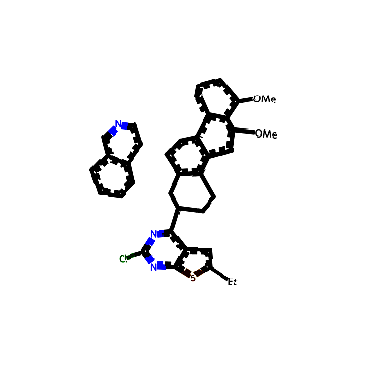 CCc1cc2c(C3CCc4c(ccc5c4cc(OC)c4c(OC)cccc45)C3)nc(Cl)nc2s1.c1ccc2cnccc2c1